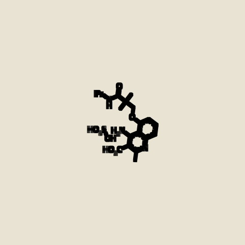 Cc1nc2cccc(OCC(C)(C)C(=O)NC(C)C)c2c(N)c1C(=O)O.O=S(=O)(O)O